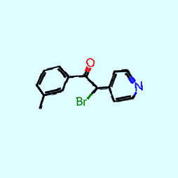 Cc1cccc(C(=O)C(Br)c2ccncc2)c1